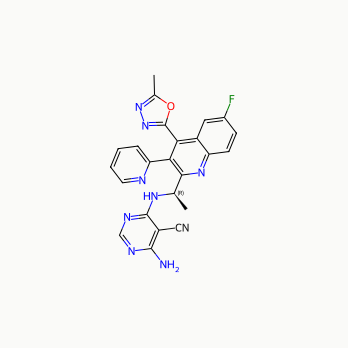 Cc1nnc(-c2c(-c3ccccn3)c([C@@H](C)Nc3ncnc(N)c3C#N)nc3ccc(F)cc23)o1